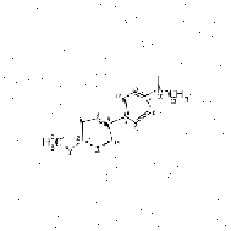 CCC1=CC=C(c2ccc(NC)cc2)CC1